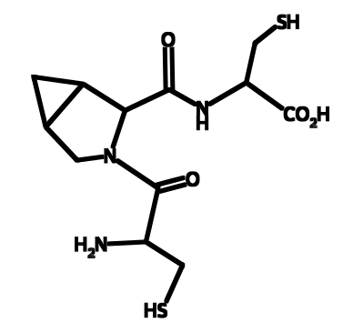 NC(CS)C(=O)N1CC2CC2C1C(=O)NC(CS)C(=O)O